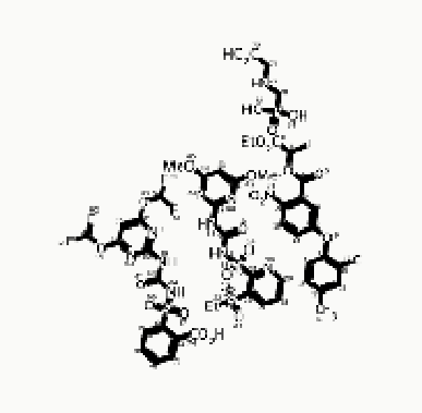 CCOC(=O)C(C)OC(=O)c1cc(Oc2ccc(C(F)(F)F)cc2Cl)ccc1[N+](=O)[O-].CCS(=O)(=O)c1cccnc1S(=O)(=O)NC(=O)Nc1nc(OC)cc(OC)n1.O=C(Nc1nc(OC(F)F)cc(OC(F)F)n1)NS(=O)(=O)c1ccccc1C(=O)O.O=C(O)CNCP(=O)(O)O